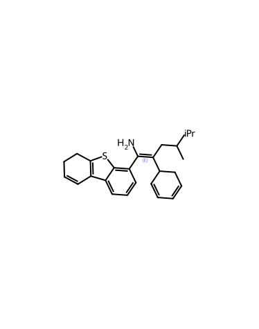 CC(C)C(C)C/C(=C(\N)c1cccc2c3c(sc12)CCC=C3)C1C=CC=CC1